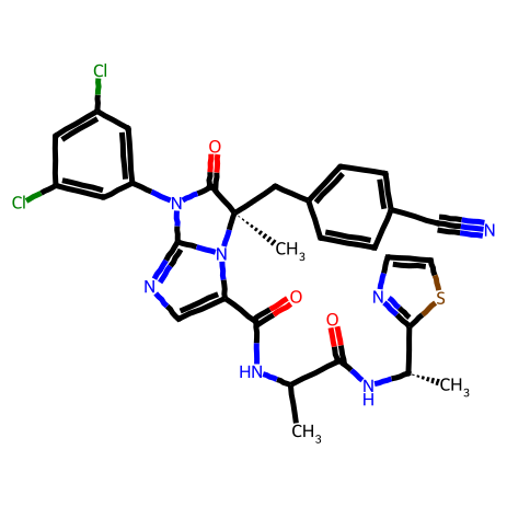 CC(NC(=O)c1cnc2n1[C@](C)(Cc1ccc(C#N)cc1)C(=O)N2c1cc(Cl)cc(Cl)c1)C(=O)N[C@@H](C)c1nccs1